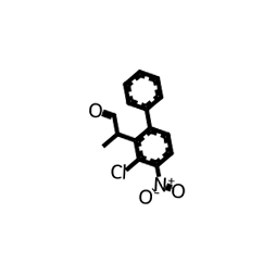 CC(C=O)c1c(-c2ccccc2)ccc([N+](=O)[O-])c1Cl